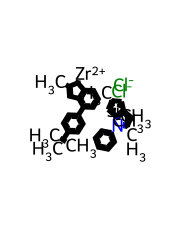 CC1=C2c3c(cc(C)n3-c3ccccc3)C1[Si]2(C)C.CC1=Cc2c(-c3ccc(C(C)(C)C)cc3)cccc2[CH]1[Zr+2].[Cl-].[Cl-]